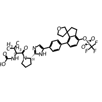 CC(C)[C@H](NC(=O)O)C(=O)N1CCC[C@H]1c1ncc(-c2ccc(-c3ccc(OS(=O)(=O)C(F)(F)F)c4c3C3(CCOC3)CC4)cc2)[nH]1